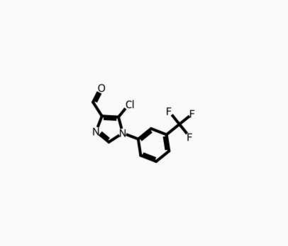 O=Cc1ncn(-c2cccc(C(F)(F)F)c2)c1Cl